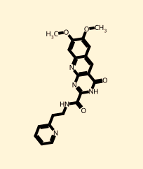 COc1cc2cc3c(=O)[nH]c(C(=O)NCCc4ccccn4)nc3nc2cc1OC